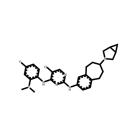 CP(C)c1cc(F)ccc1Nc1nc(Nc2ccc3c(c2)CCC(N2CC4CC4C2)CC3)ncc1Cl